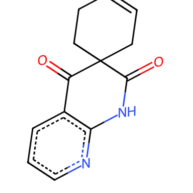 O=C1Nc2ncccc2C(=O)C12CC=CCC2